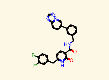 O=C(NCc1cccc(-c2ccc3ncnn3c2)c1)c1ccc(Cc2ccc(F)c(F)c2)[nH]c1=O